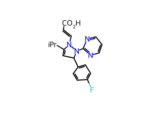 CC(C)C1=CC(c2ccc(F)cc2)N(c2ncccn2)N1/C=C/C(=O)O